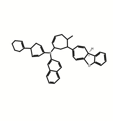 CC1CC=CC(N(C2=CCC(C3=CCCCC3)C=C2)c2ccc3ccccc3c2)CC1C1=CC=C2Oc3ccccc3[C@@H]2C=C1